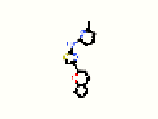 Cc1cccc(Nc2nc(-c3ccc4cccc-4o3)cs2)n1